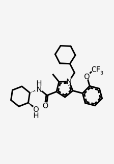 Cc1c(C(=O)N[C@H]2CCCC[C@@H]2O)cc(-c2ccccc2OC(F)(F)F)n1CC1CCCCC1